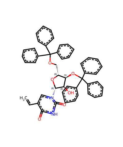 C=Cc1cn([C@@H]2O[C@H](COC(c3ccccc3)(c3ccccc3)c3ccccc3)[C@@H](OC(c3ccccc3)(c3ccccc3)c3ccccc3)[C@H]2O)c(=O)[nH]c1=O